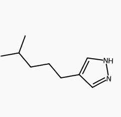 CC(C)CCCc1cn[nH]c1